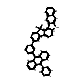 CC1(C)c2ccc(-c3cccc(-c4c5ccccc5c(-c5ccccc5)c5ccccc45)c3)cc2-c2ccc3oc4cc5ccccc5cc4c3c21